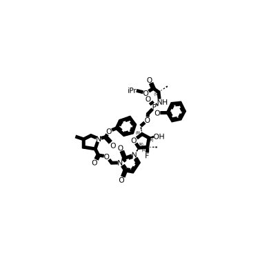 CC1CC(C(=O)OCn2c(=O)ccn([C@@H]3O[C@H](COCP(=O)(N[C@@H](C)C(=O)OC(C)C)Oc4ccccc4)[C@@H](O)[C@@]3(C)F)c2=O)N(C(=O)Oc2ccccc2)C1